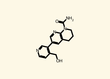 NC(=O)N1CCCc2cc(-c3cnccc3CO)cnc21